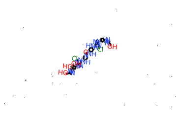 O=C(N[C@H]1CC[C@H](Nc2nc(Cl)nc3c2ncn3[C@H]2CC[C@@H](n3ncc(CO)n3)C2)CC1)N1CCC(Nc2nc(Cl)nc3c2ncn3[C@@H]2C[C@H](n3ncc(CO)n3)[C@@H](O)[C@H]2O)CC1